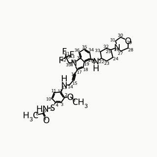 COc1cc(SNC(C)=O)ccc1NCC#Cc1cc2c(NC3CCC(N4CCOCC4)CC3)cccc2n1CC(F)(F)F